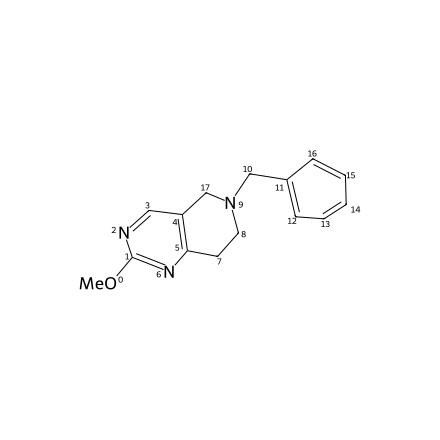 COc1ncc2c(n1)CCN(Cc1ccccc1)C2